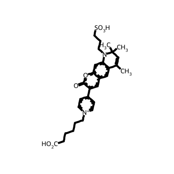 CC1=CC(C)(C)N(CCCS(=O)(=O)O)c2cc3oc(=O)c(-c4cc[n+](CCCCCC(=O)O)cc4)cc3cc21